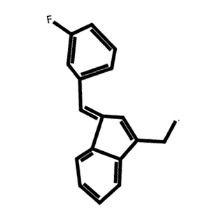 [CH2]CC1=CC(=Cc2cccc(F)c2)c2ccccc21